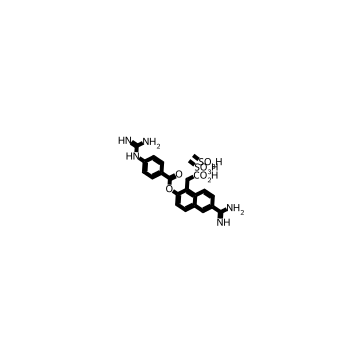 CS(=O)(=O)O.CS(=O)(=O)O.N=C(N)Nc1ccc(C(=O)Oc2ccc3cc(C(=N)N)ccc3c2CC(=O)O)cc1